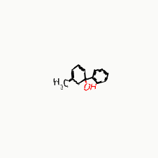 CC1=CC=CC(O)(c2ccccc2)C1